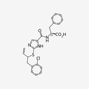 C=CC(Cc1ccccc1Cl)Sc1ncc(C(=O)N[C@@H](Cc2ccccc2)C(=O)O)[nH]1